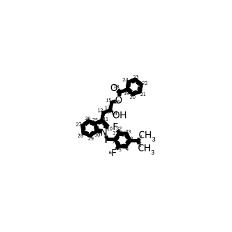 CC(C)c1cc(F)c(Cn2cc(C[C@H](O)COC(=O)c3ccccc3)c3ccccc32)c(F)c1